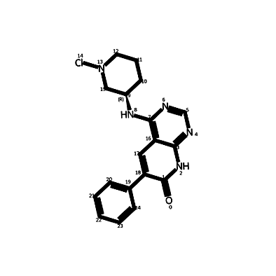 O=c1[nH]c2ncnc(N[C@@H]3CCCN(Cl)C3)c2cc1-c1ccccc1